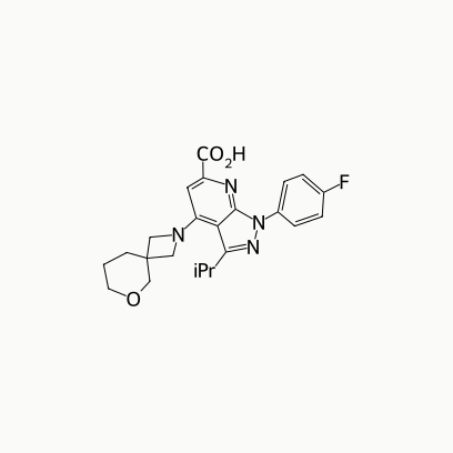 CC(C)c1nn(-c2ccc(F)cc2)c2nc(C(=O)O)cc(N3CC4(CCCOC4)C3)c12